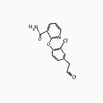 NC(=O)c1cccnc1Oc1ccc(CC=O)cc1Cl